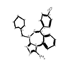 Cc1nnc2n1-c1ccccc1C(c1ccc(Cl)cc1)=NN2CC1CCCCC1